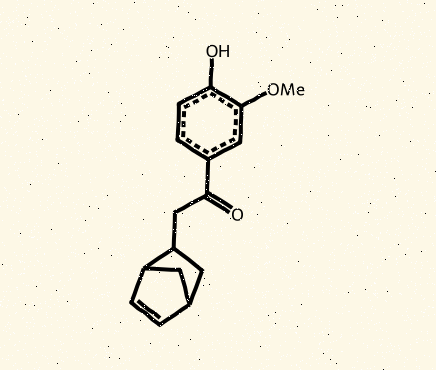 COc1cc(C(=O)CC2CC3C=CC2C3)ccc1O